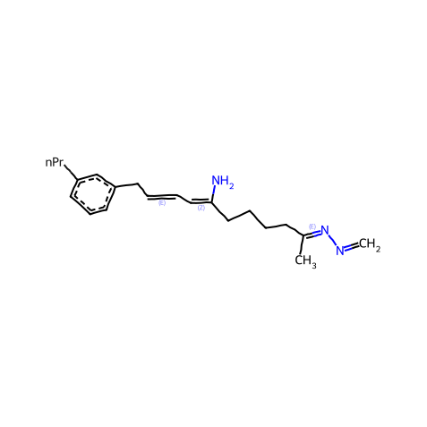 C=N/N=C(\C)CCCC/C(N)=C/C=C/Cc1cccc(CCC)c1